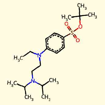 CCN(CCN(C(C)C)C(C)C)c1ccc(S(=O)(=O)OC(C)(C)C)cc1